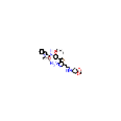 COc1cc(-c2csc3c(C=CCNC4CCC5(CC4)OCCO5)cnc(N)c23)ccc1NC(=O)c1cc2ccccc2n1C